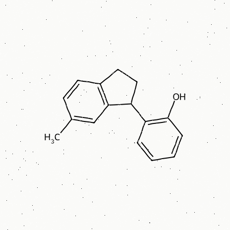 Cc1ccc2c(c1)C(c1[c]cccc1O)CC2